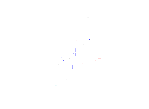 CCOCn1ccc(O)c(C(=O)Nc2nc3ccc(F)cc3[nH]2)c1=O